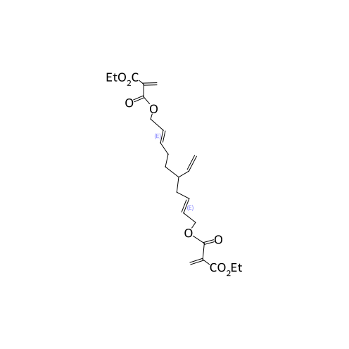 C=CC(C/C=C/COC(=O)C(=C)C(=O)OCC)CC/C=C/COC(=O)C(=C)C(=O)OCC